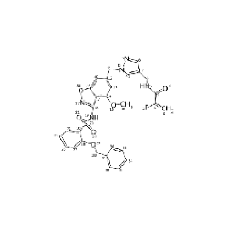 C=C(F)C(=O)NCc1cnn(Cc2cc(OC)c3c(NS(=O)(=O)c4ccccc4OCc4ccccc4)noc3c2)c1